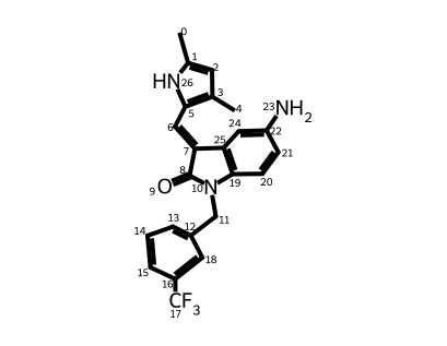 Cc1cc(C)c(C=C2C(=O)N(Cc3cccc(C(F)(F)F)c3)c3ccc(N)cc32)[nH]1